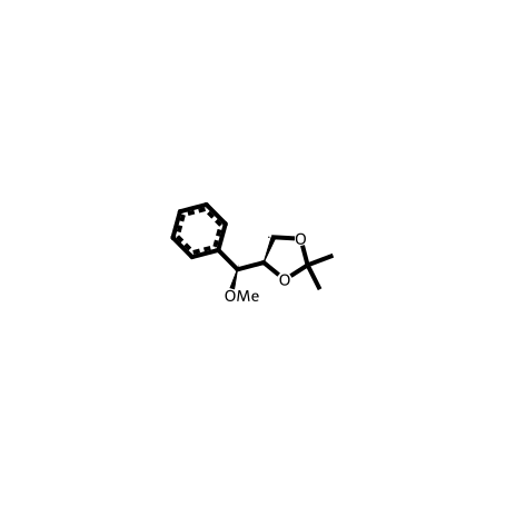 CO[C@@H](c1ccccc1)[C@H]1[CH]OC(C)(C)O1